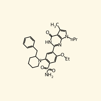 CCCn1cc(C)c2c(=O)[nH]c(-c3cc(N4CCCCC4Cc4ccccc4)c(S(N)(=O)=O)cc3OCC)nc21